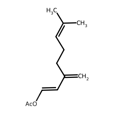 C=C(C=COC(C)=O)CCC=C(C)C